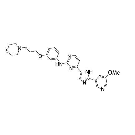 COc1cncc(-c2ncc(-c3ccnc(Nc4cccc(OCCCN5CCSCC5)c4)n3)[nH]2)c1